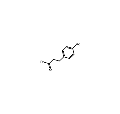 CC(=O)c1ccc(CCC(=O)C(C)C)cc1